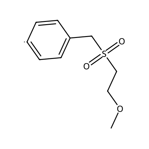 COCCS(=O)(=O)Cc1cc[c]cc1